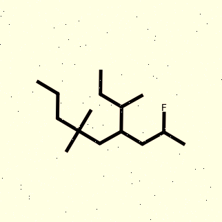 CCCC(C)(C)CC(CC(C)F)C(C)CC